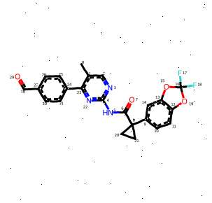 Cc1cnc(NC(=O)C2(c3ccc4c(c3)OC(F)(F)O4)CC2)nc1-c1ccc(C=O)cc1